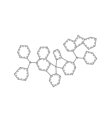 c1ccc(N(c2ccccc2)c2cc3c(c4ccccc24)C2(c4ccccc4-3)c3ccccc3-c3c(N(c4ccccc4)c4cccc5oc6ccccc6c45)cccc32)cc1